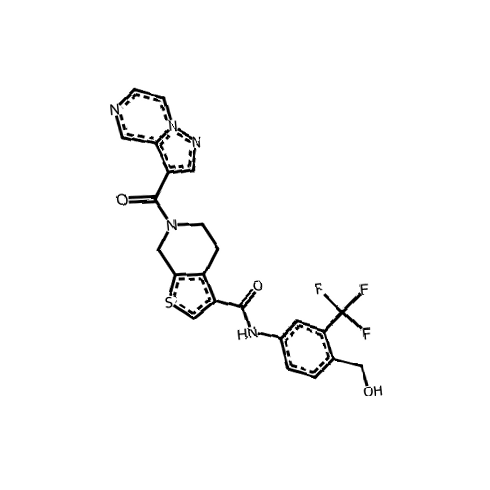 O=C(Nc1ccc(CO)c(C(F)(F)F)c1)c1csc2c1CCN(C(=O)c1cnn3ccncc13)C2